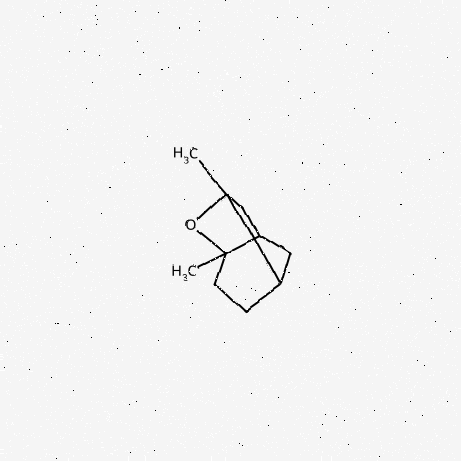 CC12CCC3CC1CC3(C)O2